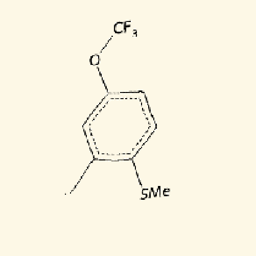 [CH2]c1cc(OC(F)(F)F)ccc1SC